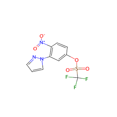 O=[N+]([O-])c1ccc(OS(=O)(=O)C(F)(F)F)cc1-n1cccn1